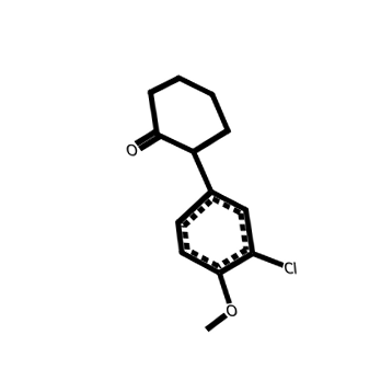 COc1ccc(C2CCCCC2=O)cc1Cl